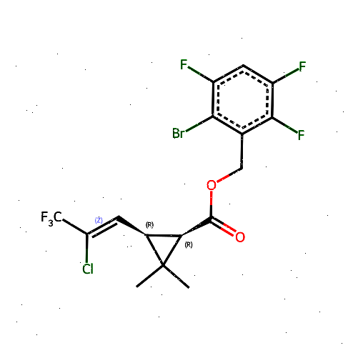 CC1(C)[C@H](C(=O)OCc2c(F)c(F)cc(F)c2Br)[C@@H]1/C=C(\Cl)C(F)(F)F